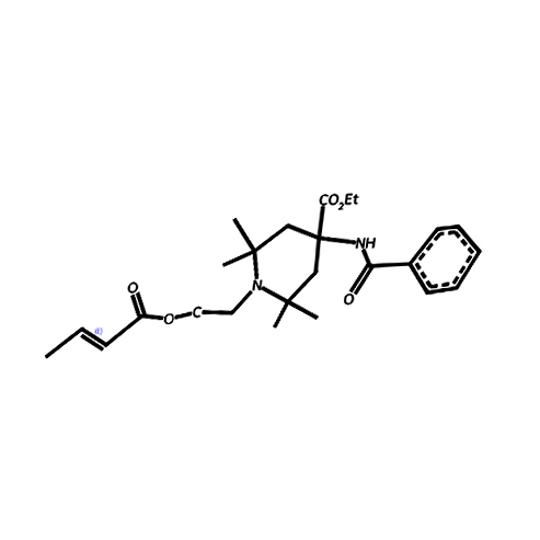 C/C=C/C(=O)OCCN1C(C)(C)CC(NC(=O)c2ccccc2)(C(=O)OCC)CC1(C)C